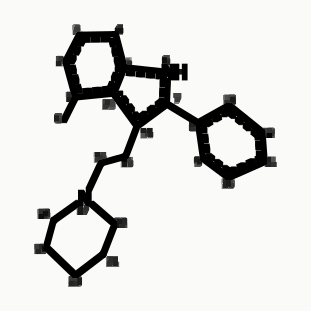 Cc1cccc2[nH]c(-c3ccccc3)c(CCN3CCCCC3)c12